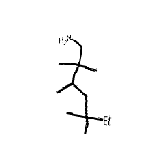 CCC(C)(C)CC(C)C(C)(C)CN